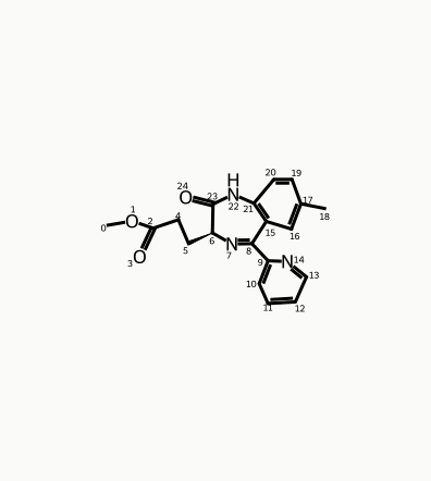 COC(=O)CC[C@@H]1N=C(c2ccccn2)c2cc(C)ccc2NC1=O